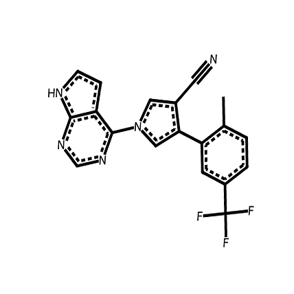 Cc1ccc(C(F)(F)F)cc1-c1cn(-c2ncnc3[nH]ccc23)cc1C#N